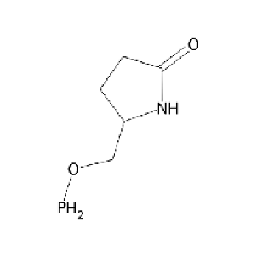 O=C1CCC(COP)N1